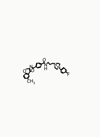 Cc1ccc2c(c1)-c1oc(-c3ccc(C(=O)NCCCN4CCN(c5ccc(F)cc5)CC4)cc3)nc1CO2